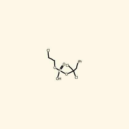 CC(C)CC(Cl)(Cl)OP(=O)(O)OCCCl